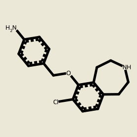 Nc1ccc(COc2c(Cl)ccc3c2CCNCC3)cc1